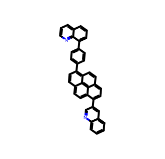 c1ccc2ncc(-c3ccc4ccc5c(-c6ccc(-c7cccc8cccnc78)cc6)ccc6ccc3c4c65)cc2c1